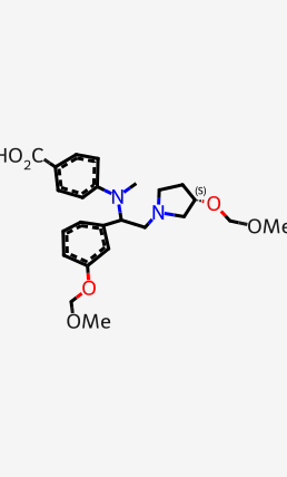 COCOc1cccc(C(CN2CC[C@H](OCOC)C2)N(C)c2ccc(C(=O)O)cc2)c1